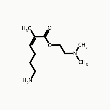 CC(=CCCCN)C(=O)OCCN(C)C